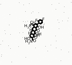 CN(C)c1cc(-c2ccc(F)cc2F)c(O)c2c1C[C@H]1C[C@H]3CC(O)=C(C(N)=O)C(=O)[C@@]3(O)C(O)=C1C2=O